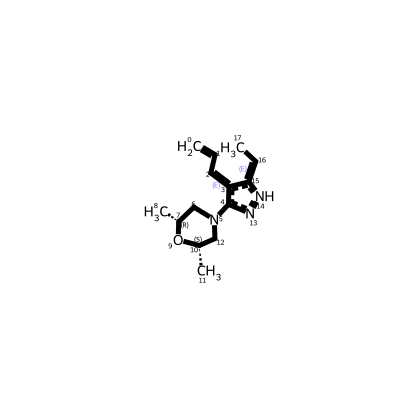 C=C/C=c1/c(N2C[C@@H](C)O[C@@H](C)C2)n[nH]/c1=C/C